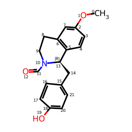 COc1ccc2c(c1)CCN(C=O)[C@@H]2Cc1ccc(O)cc1